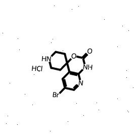 Cl.O=C1Nc2ncc(Br)cc2C2(CCNCC2)O1